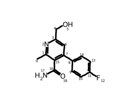 Cc1nc(CO)cc(-c2ccc(F)cc2)c1C(N)=O